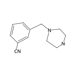 N#Cc1cccc(CN2CC[N]CC2)c1